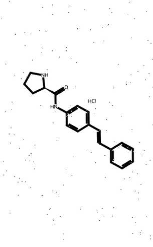 Cl.O=C(Nc1ccc(C=Cc2ccccc2)cc1)[C@H]1CCCN1